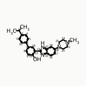 CC(C)c1ccc(-c2ccc(O)c(-c3nc4ccc(N5CCN(C)CC5)cc4[nH]3)c2)cc1